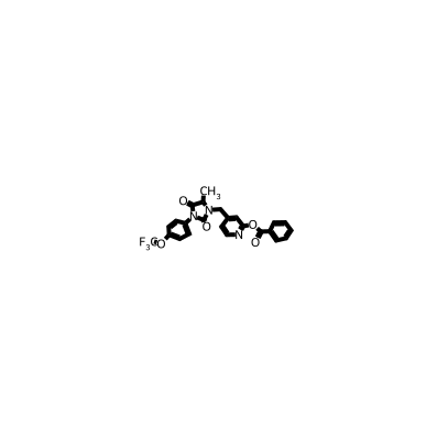 CC1C(=O)N(c2ccc(OC(F)(F)F)cc2)C(=O)N1Cc1ccnc(OC(=O)c2ccccc2)c1